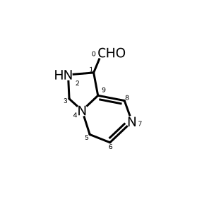 O=CC1NCN2CC=NC=C12